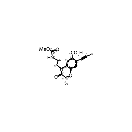 CC#Cc1cc2c(cc1C(=O)O)N(CCNC(=O)OC)C(=O)[C@@H](C)O2